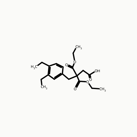 CCOC(=O)C(CC(=O)O)(Cc1ccc(CC)c(CC)c1)C(=O)OCC